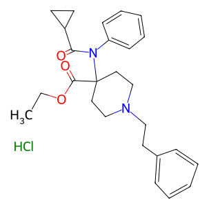 CCOC(=O)C1(N(C(=O)C2CC2)c2ccccc2)CCN(CCc2ccccc2)CC1.Cl